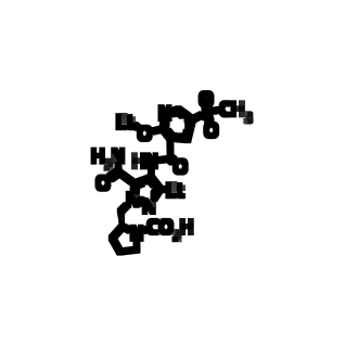 CCOc1ncc(S(C)(=O)=O)cc1C(=O)Nc1c(CC)nn(C[C@@H]2CCCN2C(=O)O)c1C(N)=O